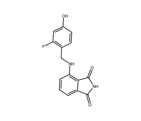 O=C1NC(=O)c2c(NCc3ccc(O)cc3F)cccc21